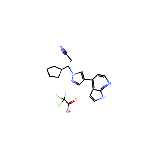 N#CC[C@@H](C1CCCC1)n1cc(-c2ccnc3[nH]ccc23)cn1.O=C(O)C(F)(F)F